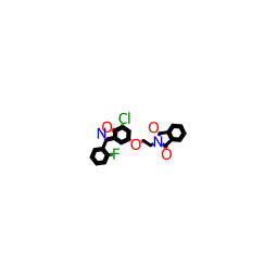 O=C1c2ccccc2C(=O)N1CCOc1cc(Cl)c2onc(-c3ccccc3F)c2c1